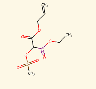 C=CCOC(=O)C(OS(C)(=O)=O)[PH](=O)OCC